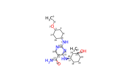 CCOC1CCC(Nc2ncc(C(N)=O)c(N[C@@H]3CCC[C@](C)(O)C3)n2)CC1